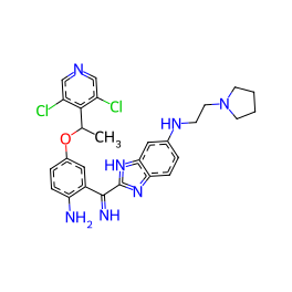 CC(Oc1ccc(N)c(C(=N)c2nc3ccc(NCCN4CCCC4)cc3[nH]2)c1)c1c(Cl)cncc1Cl